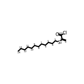 C=C(SCCCCCCCCCCCC)C(=O)Cl